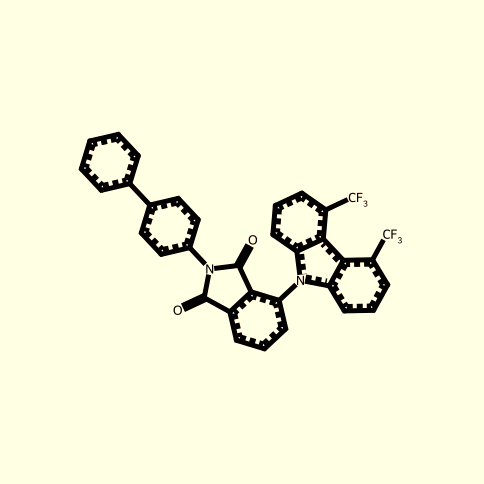 O=C1c2cccc(-n3c4cccc(C(F)(F)F)c4c4c(C(F)(F)F)cccc43)c2C(=O)N1c1ccc(-c2ccccc2)cc1